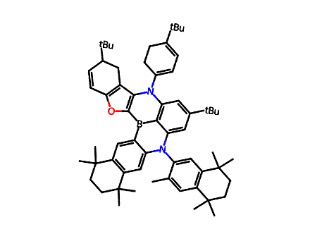 Cc1cc2c(cc1N1c3cc4c(cc3B3c5oc6c(c5N(C5=CC=C(C(C)(C)C)CC5)c5cc(C(C)(C)C)cc1c53)CC(C(C)(C)C)C=C6)C(C)(C)CCC4(C)C)C(C)(C)CCC2(C)C